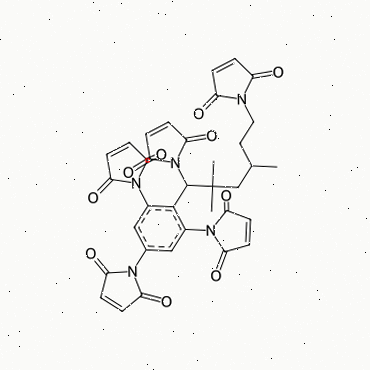 CC(CCN1C(=O)C=CC1=O)CC(C)(C)C(c1c(N2C(=O)C=CC2=O)cc(N2C(=O)C=CC2=O)cc1N1C(=O)C=CC1=O)N1C(=O)C=CC1=O